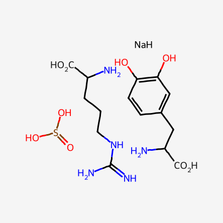 N=C(N)NCCCC(N)C(=O)O.NC(Cc1ccc(O)c(O)c1)C(=O)O.O=S(O)O.[NaH]